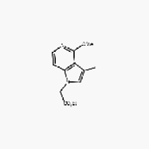 CCOC(=O)Cn1cc(I)c2c(OC)nccc21